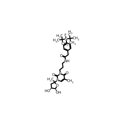 Cc1cn(C2(C)C[C@H](O)[C@H](O)O2)c(=O)n(CCCNC(=O)Cc2ccc([Si](F)(C(C)(C)C)C(C)(C)C)cc2)c1=O